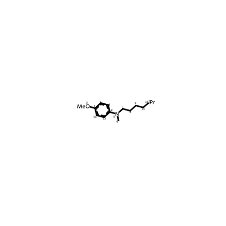 COc1ccc(N(C)CCCCC(C)C)cc1